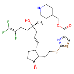 C[C@@](O)(C/C=C/[C@H]1CCC(=O)[C@H]1CCSc1nc(C(=O)OCC2CCNCC2)cs1)CCC(F)=C(F)F